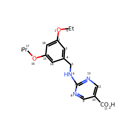 CCOc1cc(CNc2ncc(C(=O)O)cn2)cc(OC(C)C)c1